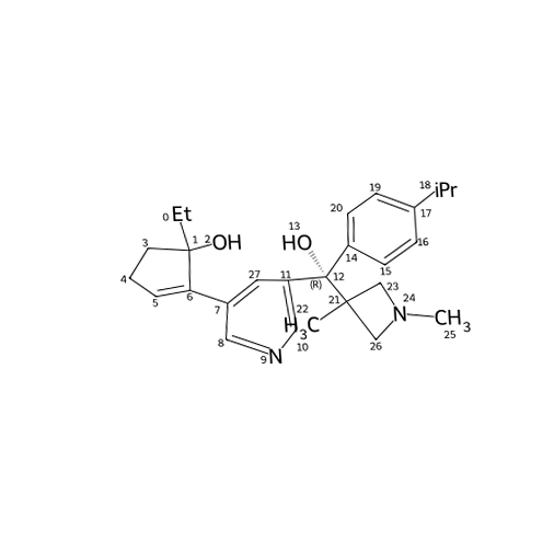 CCC1(O)CCC=C1c1cncc([C@@](O)(c2ccc(C(C)C)cc2)C2(C)CN(C)C2)c1